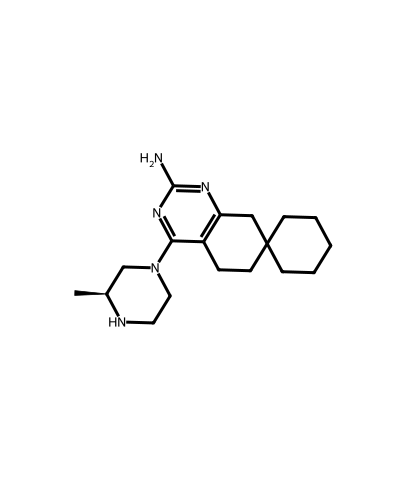 C[C@H]1CN(c2nc(N)nc3c2CCC2(CCCCC2)C3)CCN1